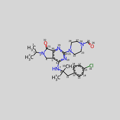 CC(C)N1Cc2c(NC(C)(C)Cc3ccc(Cl)cc3)nc(N3CCN(C=O)CC3)nc2C1=O